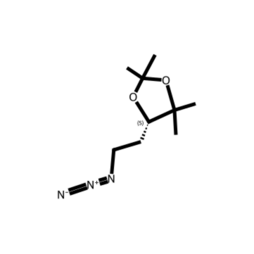 CC1(C)O[C@@H](CCN=[N+]=[N-])C(C)(C)O1